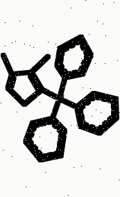 CC1=CCC([Si](c2ccccc2)(c2ccccc2)c2ccccc2)=C1C